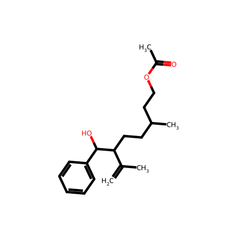 C=C(C)C(CCC(C)CCOC(C)=O)C(O)c1ccccc1